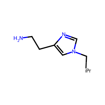 CC(C)Cn1cnc(CCN)c1